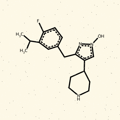 CC(C)c1cc(Cc2nn(O)cc2C2CCNCC2)ccc1F